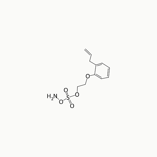 C=CCc1ccccc1OCCOS(=O)(=O)ON